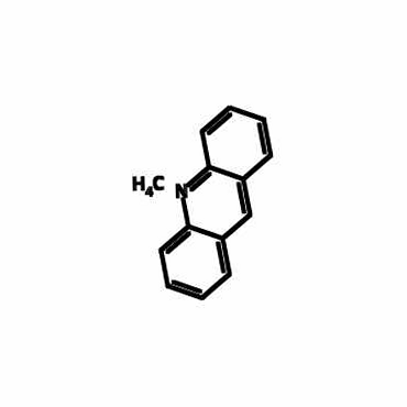 C.c1ccc2nc3ccccc3cc2c1